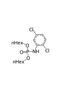 CCCCCCOP(=O)(Nc1cc(Cl)ccc1Cl)OCCCCCC